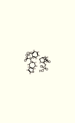 CC1(C)C2CCC1(CS(=O)(=O)O)C(=O)C2.O=C(O)C(c1ccccc1Cl)N1CCc2sccc2C1